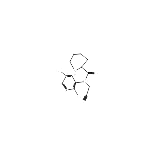 N#CCN(C(=O)C1CCCCN1)c1cc(Br)ccc1Cl